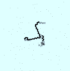 CCCCC/C=C\C/C=C\CCCCCCCCC1(CCCCCCCC/C=C\C/C=C\CCCCC)OCCC(CCOS(C)(=O)=O)O1